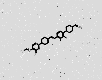 C=CC1CCC(c2ccc(/C=C/C3CCC(c4ccc(OCC)c(F)c4)CC3)c(F)c2F)CC1